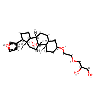 C[C@]12CCC(OCCOCC(O)CO)CC1CC[C@@H]1[C@H]2CC[C@]2(C)C(c3ccoc3)CC[C@@]12O